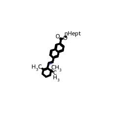 CCCCCCCOC(=O)c1ccc2cc(/C=C/C3=C(C)CCCC3(C)C)ccc2c1